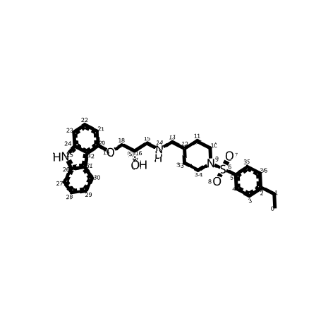 CCc1ccc(S(=O)(=O)N2CCC(CNC[C@H](O)COc3cccc4[nH]c5ccccc5c34)CC2)cc1